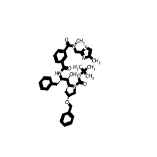 Cc1csc(CN(C)C(=O)c2cccc(C(=O)N[C@@H](Cc3ccccc3)[C@H](O)[C@H]3C[C@@H](OCc4ccccc4)CN3C(=O)OC(C)(C)C)c2)n1